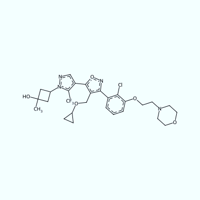 CC1(O)CC(n2ncc(-c3onc(-c4cccc(OCCN5CCOCC5)c4Cl)c3COC3CC3)c2C(F)(F)F)C1